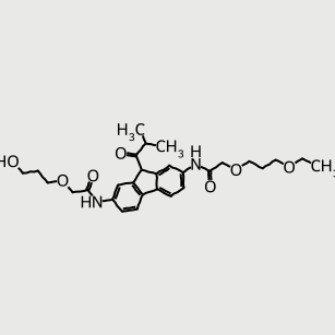 CCOCCCOCC(=O)Nc1ccc2c(c1)C(C(=O)C(C)C)c1cc(NC(=O)COCCCO)ccc1-2